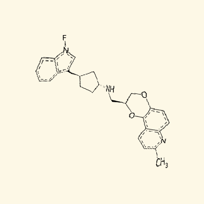 Cc1ccc2c3c(ccc2n1)OC[C@H](CN[C@@H]1CC[C@@H](c2cn(F)c4ccccc24)C1)O3